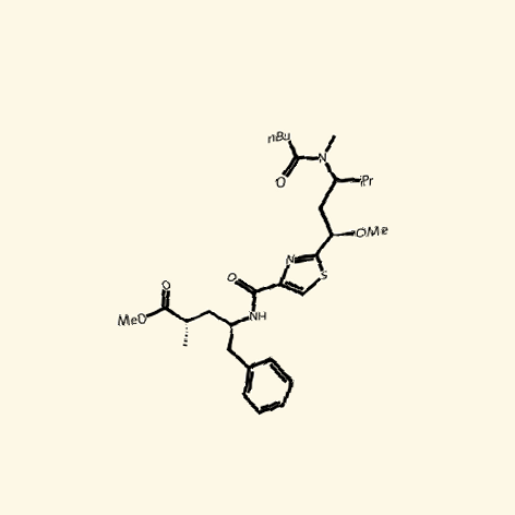 CCCCC(=O)N(C)C(C[C@@H](OC)c1nc(C(=O)N[C@@H](Cc2ccccc2)C[C@H](C)C(=O)OC)cs1)C(C)C